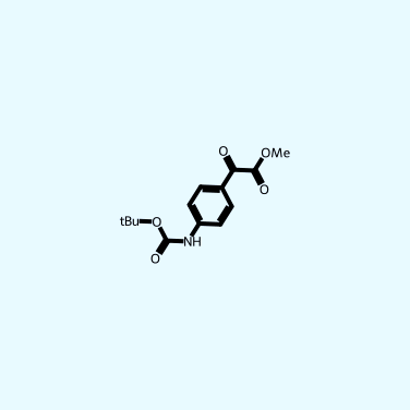 COC(=O)C(=O)c1ccc(NC(=O)OC(C)(C)C)cc1